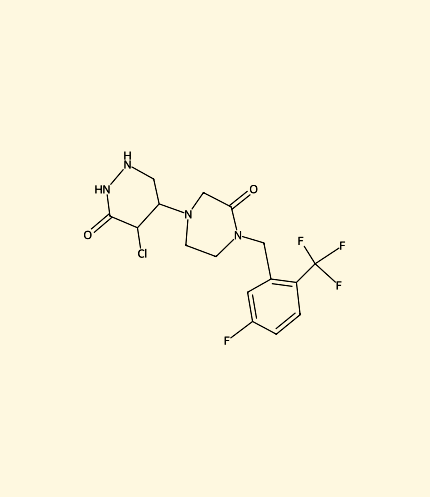 O=C1NNCC(N2CCN(Cc3cc(F)ccc3C(F)(F)F)C(=O)C2)C1Cl